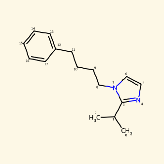 CC(C)c1nccn1CCCCc1ccccc1